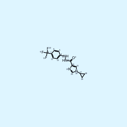 O=C(NNc1ccc(C(F)(F)F)cc1)c1cn(C2CC2)cn1